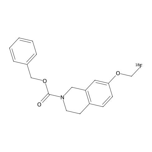 O=C(OCc1ccccc1)N1CCc2ccc(OC[18F])cc2C1